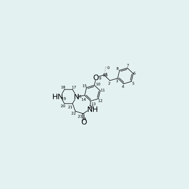 C[C@H](Cc1ccccc1)Oc1ccc2c(c1)N1CCNCC1CC(=O)N2